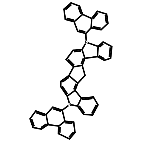 c1ccc2c(c1)cc(-n1c3ccccc3c3c4c(ccc31)-c1ccc3c(c1C4)c1ccccc1n3-c1cc3ccccc3c3ccccc13)c1ccccc12